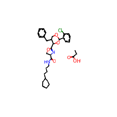 CCC(=O)O.O=C(NCCCCC1CCCCC1)C1COC(C2OC(c3ccccc3Cl)OCC2Cc2ccccc2)=N1